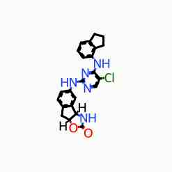 O=C1N[C@H]2c3cc(Nc4ncc(Cl)c(Nc5cccc6c5CCC6)n4)ccc3C[C@H]2O1